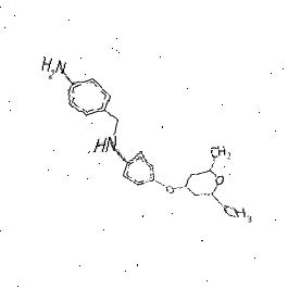 CC1CC(Oc2ccc(NCc3ccc(N)cc3)cc2)CC(C)O1